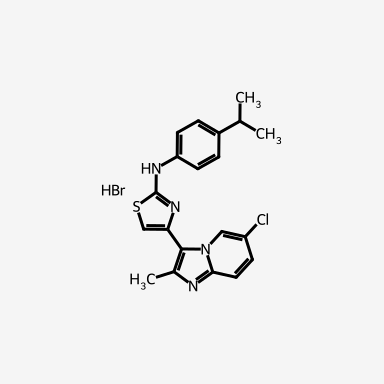 Br.Cc1nc2ccc(Cl)cn2c1-c1csc(Nc2ccc(C(C)C)cc2)n1